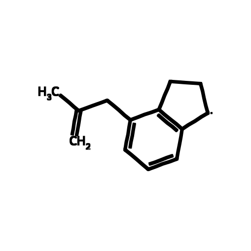 C=C(C)Cc1cccc2c1CC[CH]2